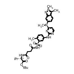 Cc1ccc(Nc2nccc(N(C)c3ccc4c(C)n(C)nc4c3)n2)cc1S(=O)(=O)NC(=O)CCC(=O)N[C@H](C(=O)OC(C)(C)C)C(C)C